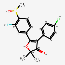 C[S+]([O-])c1ccc(C2=C(c3ccc(Cl)cc3)C(=O)C(C)(C)O2)cc1F